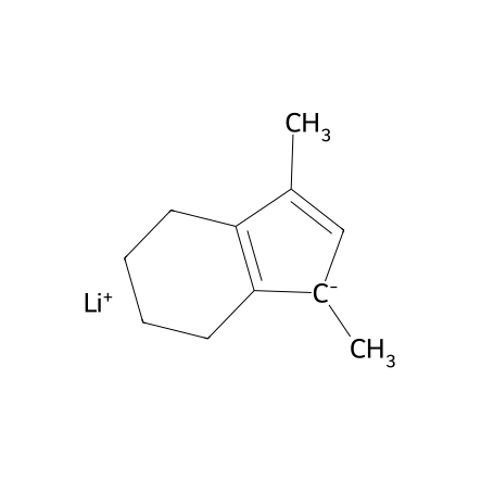 Cc1c[c-](C)c2c1CCCC2.[Li+]